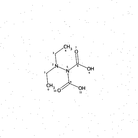 CCN(CC)N(C(=O)O)C(=O)O